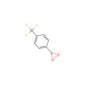 FC(F)(F)c1ccc(C2OO2)cc1